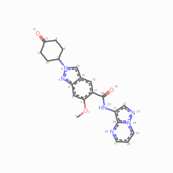 COc1cc2nn(C3CCC(=O)CC3)cc2cc1C(=O)Nc1cnn2cccnc12